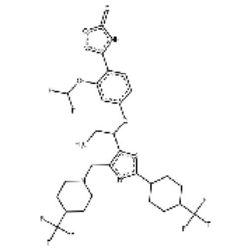 CCC(Oc1ccc(-c2noc(=O)[nH]2)c(OC(F)F)c1)c1sc(C2CCC(C(F)(F)F)CC2)nc1CN1CCC(C(F)(F)F)CC1